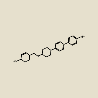 CCCc1ccc(-c2ccc(C3CCC(OCC4C=CC(CCC)CC4)CC3)cc2)cc1